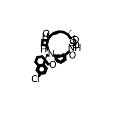 C[C@@H]1[C@@H](C)CC=CC(=O)[C@@H]2CC[C@H]2CN2C[C@@]3(CCCc4cc(Cl)ccc43)COc3ccc(cc32)C(=O)NS1(=O)=O